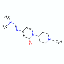 CN(C)C=Nc1ccn(C2CCN(C(=O)O)CC2)c(=O)c1